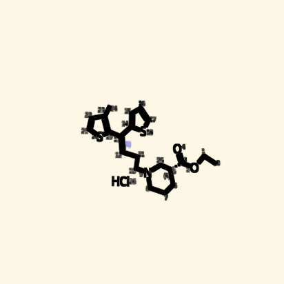 CCOC(=O)[C@@H]1CCCN(CC/C=C(\c2cccs2)c2sccc2C)C1.Cl